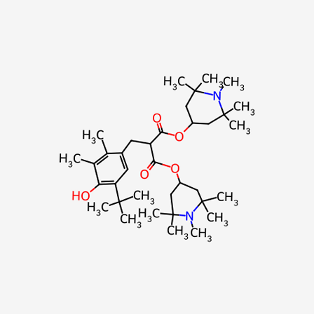 Cc1c(CC(C(=O)OC2CC(C)(C)N(C)C(C)(C)C2)C(=O)OC2CC(C)(C)N(C)C(C)(C)C2)cc(C(C)(C)C)c(O)c1C